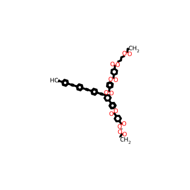 C#Cc1ccc(C#Cc2ccc(C#Cc3ccc(C#CC4(OC(=O)c5ccc(OC(=O)C6CCC(C(=O)OCCCCOC(=O)C=C)CC6)cc5)CCC(c5ccc(OC(=O)C6CCC(C(=O)OCOC(=O)C=C)CC6)cc5)CC4)cc3)cc2)cc1